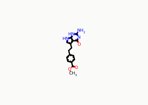 COC(=O)c1ccc(CCc2c[nH]c3[nH]c(N)nc(=O)c23)cc1